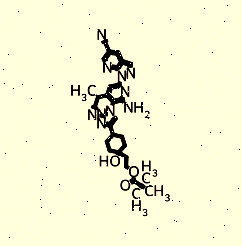 C[C@@H](C#N)c1cc(-n2ncc3cc(C#N)cnc32)nc(N)c1-n1cc(C2CCC(O)(CCOC(=O)C(C)(C)C)CC2)nn1